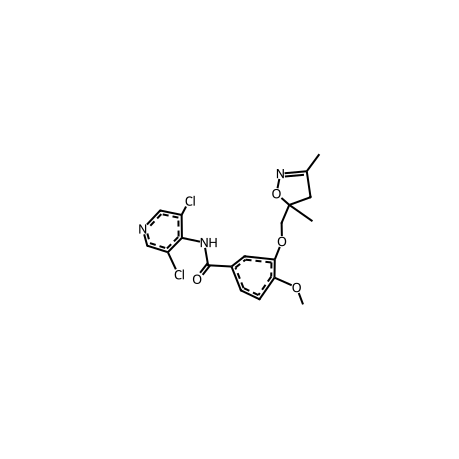 COc1ccc(C(=O)Nc2c(Cl)cncc2Cl)cc1OCC1(C)CC(C)=NO1